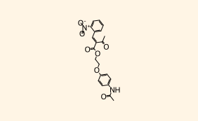 CC(=O)Nc1ccc(OCCOC(=O)C(=Cc2ccccc2[N+](=O)[O-])C(C)=O)cc1